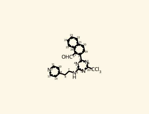 O=Cc1c(-c2nc(NCCc3ccncc3)nc(C(Cl)(Cl)Cl)n2)ccc2ccccc12